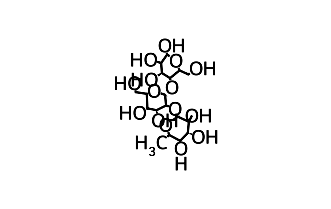 CC1O[C@@H](OC2[C@H](O[C@@H]3C(CO)O[C@H](O)C(O)[C@@H]3O)OC(CO)[C@H](O)[C@H]2O)C(O)[C@H](O)[C@@H]1O